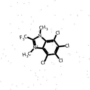 Cn1c(C(F)(F)F)[n+](C)c2c(Cl)c(Cl)c(Cl)c(Cl)c21